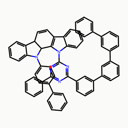 C1=CC2c3ccccc3N(c3ccc(-c4ccccc4)cc3)C2c2c1c1ccccc1n2-c1nc(-c2ccccc2)nc(-c2cccc(-c3cccc(-c4cccc(-c5ccccc5)c4)c3)c2)n1